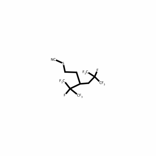 N#CSCCC(CC(F)(C(F)(F)F)C(F)(F)F)C(F)(C(F)(F)F)C(F)(F)F